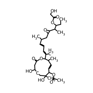 CCC(OC(=O)CO)C(C)C1OC1CC(C)/C=C/C=C(\C)C1OC(=O)CC(O)CCC(C)(O)C(OC(C)=O)/C=C/C1C